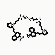 CN(C)c1ccc(/C=C/c2cccc[n+]2CCCC[N+](C)(C)CCCSSCC[N+](C)(C)CCCC[n+]2ccccc2/C=C/c2ccc(N(C)C)c3ccccc23)c2ccccc12